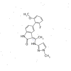 COc1cccc(F)c1-c1ccc2c(c1)/C(=C(\C)Nc1ccn(C)n1)C(=O)N2